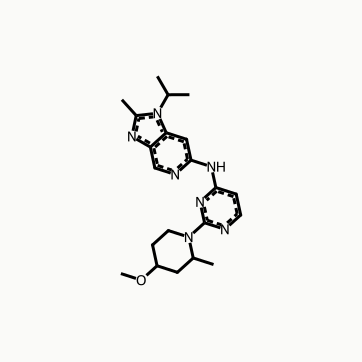 COC1CCN(c2nccc(Nc3cc4c(cn3)nc(C)n4C(C)C)n2)C(C)C1